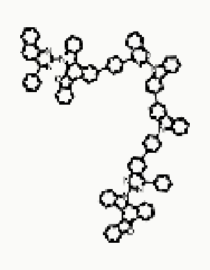 c1ccc(-c2nc(-n3c4ccccc4c4c5c6ccccc6oc5c5ccccc5c43)nc3ccc(-c4ccc(-n5c6ccccc6c6cc(-c7ccc8c(c7)c7ccccc7n8-c7nc(-c8ccc(-c9ccc%10c(c9)c9c%11ccccc%11n(-c%11nc(-c%12ccccc%12)c%12ccc%13ccccc%13c%12n%11)c9c9oc%11ccccc%11c%109)cc8)c8ccccc8n7)ccc65)cc4)cc23)cc1